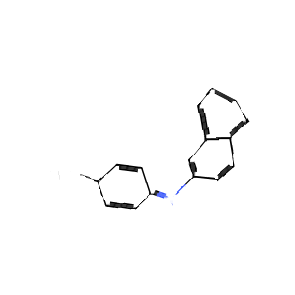 O=CC1C=CC(=Nc2ccc3ccccc3c2)C=C1